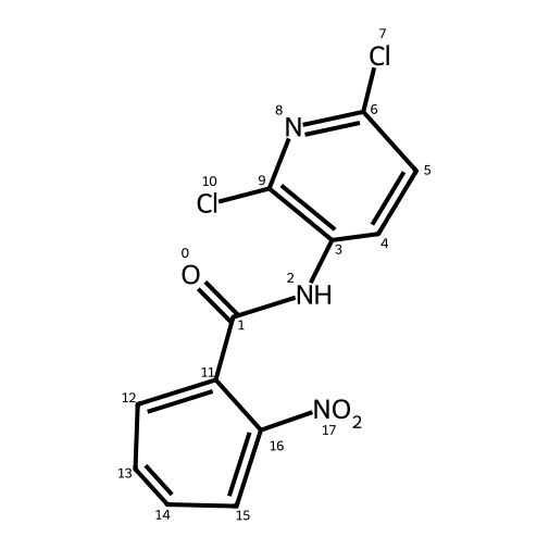 O=C(Nc1ccc(Cl)nc1Cl)c1ccccc1[N+](=O)[O-]